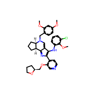 COc1ccc(CN2C=C3C(=NC(c4ccncc4OC[C@@H]4CCCO4)=C3Nc3cccc(Cl)c3OC)[C@H]3CCC[C@H]32)c(OC)c1